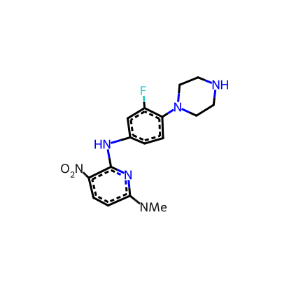 CNc1ccc([N+](=O)[O-])c(Nc2ccc(N3CCNCC3)c(F)c2)n1